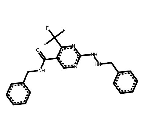 O=C(NCc1ccccc1)c1cnc(NNCc2ccccc2)nc1C(F)(F)F